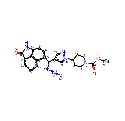 CC(C)(C)OC(=O)N1CCC(n2cc(C(N=[N+]=[N-])c3ccc4c5c(cccc35)C(=O)N4)cn2)CC1